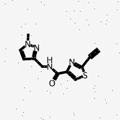 C#Cc1nc(C(=O)NCc2ccn(C)n2)cs1